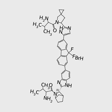 Br.CC(C)C(N)C(=O)N1CC2(CC2)CC1c1ncc(-c2ccc3c(c2)C(F)(F)c2cc(-c4ccc5[nH]c([C@@H]6C7CCC(C7)N6C(=O)C(N)C(C)C)nc5c4)ccc2-3)[nH]1